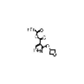 CCCC(=O)OC(=O)c1c[nH]nc1OC1COC1